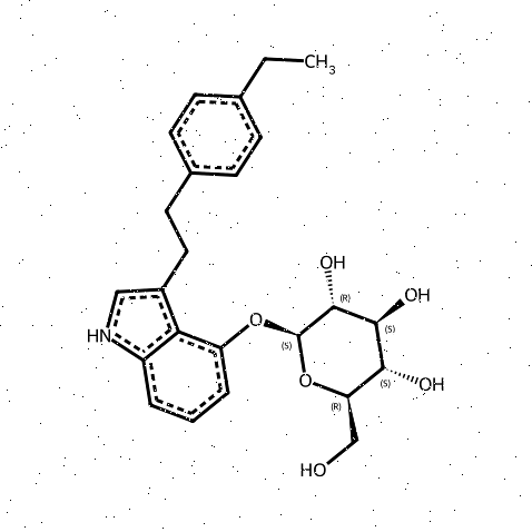 CCc1ccc(CCc2c[nH]c3cccc(O[C@@H]4O[C@H](CO)[C@@H](O)[C@H](O)[C@H]4O)c23)cc1